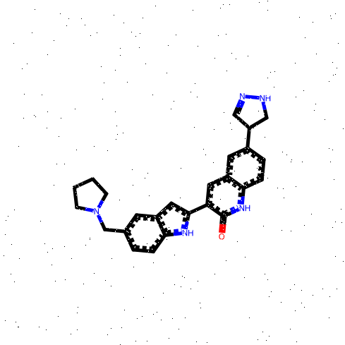 O=c1[nH]c2ccc(C3C=NNC3)cc2cc1-c1cc2cc(CN3CCCC3)ccc2[nH]1